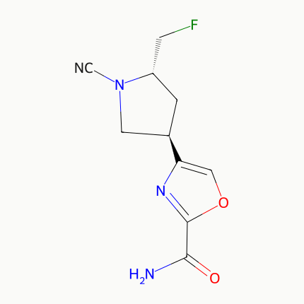 N#CN1C[C@H](c2coc(C(N)=O)n2)C[C@H]1CF